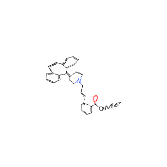 COC(=O)c1ccccc1C=CCN1CCC(=C2c3ccccc3C=Cc3ccccc32)CC1